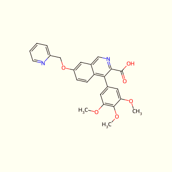 COc1cc(-c2c(C(=O)O)ncc3cc(OCc4ccccn4)ccc23)cc(OC)c1OC